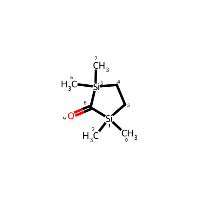 C[Si]1(C)CC[Si](C)(C)C1=O